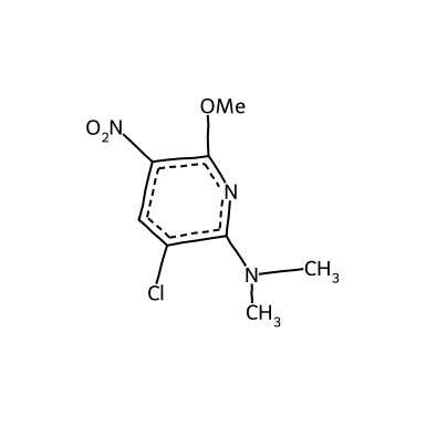 COc1nc(N(C)C)c(Cl)cc1[N+](=O)[O-]